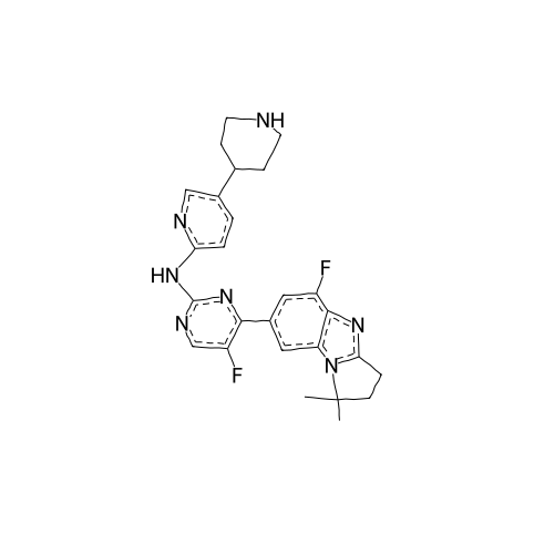 CC1(C)CCc2nc3c(F)cc(-c4nc(Nc5ccc(C6CCNCC6)cn5)ncc4F)cc3n21